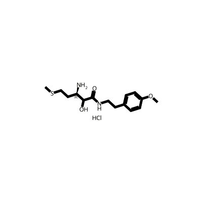 COc1ccc(CCNC(=O)C(O)[C@H](N)CCSC)cc1.Cl